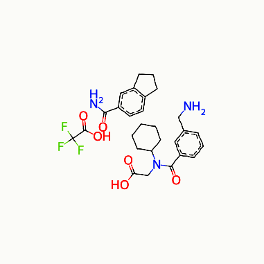 NC(=O)c1ccc2c(c1)CCC2.NCc1cccc(C(=O)N(CC(=O)O)C2CCCCC2)c1.O=C(O)C(F)(F)F